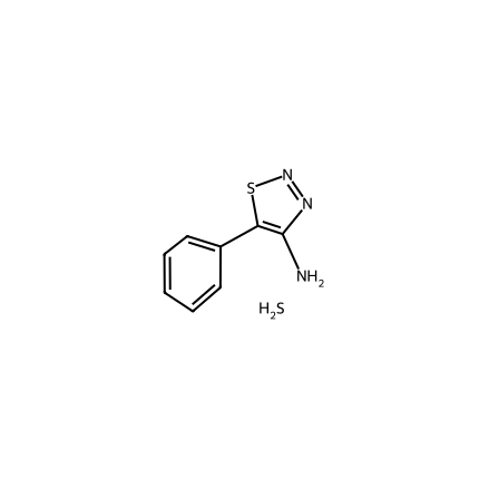 Nc1nnsc1-c1ccccc1.S